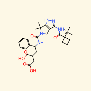 CC1(C)c2[nH]nc(NC(=O)C3([Si](C)(C)C)CCC3)c2CN1C(=O)NC(CC(CC(=O)O)C(=O)O)c1ccccc1